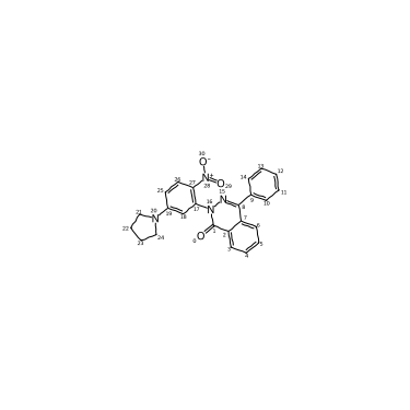 O=c1c2ccccc2c(-c2ccccc2)nn1-c1cc(N2CCCC2)ccc1[N+](=O)[O-]